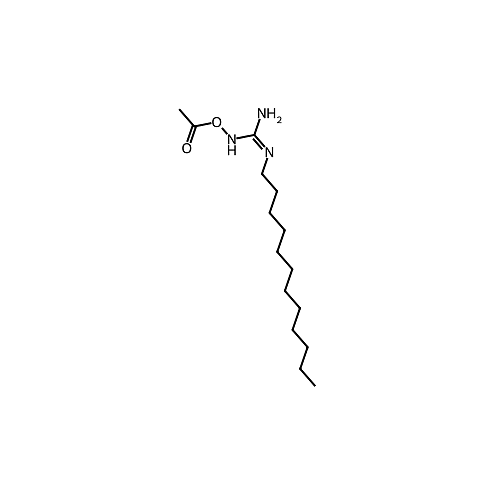 CCCCCCCCCCCCN=C(N)NOC(C)=O